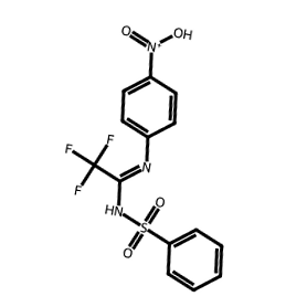 O=[N+](O)c1ccc(/N=C(/NS(=O)(=O)c2ccccc2)C(F)(F)F)cc1